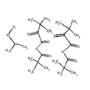 CC(C)(C)C(=O)OC(=O)C(=O)C(C)(C)C.CC(C)(C)C(=O)OC(=O)C(=O)C(C)(C)C.CC(C)[O][Ti]